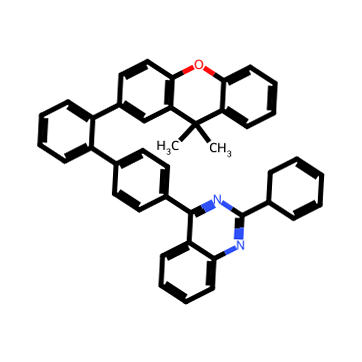 CC1(C)c2ccccc2Oc2ccc(-c3ccccc3-c3ccc(-c4nc(C5C=CC=CC5)nc5ccccc45)cc3)cc21